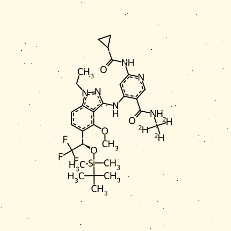 [2H]C([2H])([2H])NC(=O)c1cnc(NC(=O)C2CC2)cc1Nc1nn(CC)c2ccc([C@@H](O[Si](C)(C)C(C)(C)C)C(F)(F)F)c(OC)c12